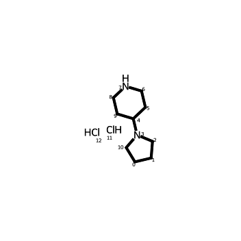 C1CCN(C2CCNCC2)C1.Cl.Cl